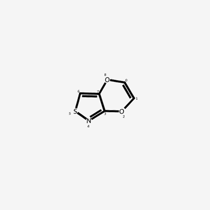 C1=COc2nscc2O1